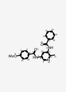 COc1ccc(C(=O)Nc2cnc(C)c(NC(=O)c3ccccc3)c2)cc1